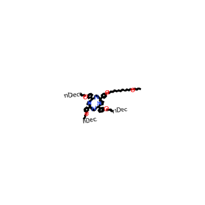 C=CCCOCCCCCCCCCCCCOc1ccc(C2=C3C=CC(=N3)C(c3cccc(OCCCCCCCCCCCCC)c3)=C3C=CC(=N3)C(c3cccc(OCCCCCCCCCCCCC)c3)=C3C=CC(=N3)C(c3cccc(OCCCCCCCCCCCCC)c3)=C3C=CC2=N3)cc1